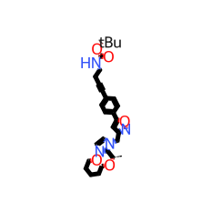 C[C@H](OC1CCCCO1)c1nccn1Cc1cc(-c2ccc(C#CCCNC(=O)OC(C)(C)C)cc2)on1